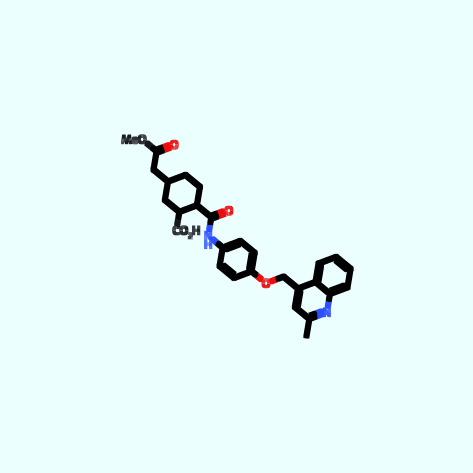 COC(=O)CC1CCC(C(=O)Nc2ccc(OCc3cc(C)nc4ccccc34)cc2)C(C(=O)O)C1